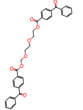 O=C(OCCOCCOCOC(=O)c1ccc(C(=O)c2ccccc2)cc1)c1ccc(C(=O)c2ccccc2)cc1